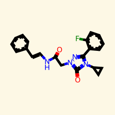 O=C(Cn1nc(-c2ccccc2F)n(C2CC2)c1=O)NC=Cc1ccccc1